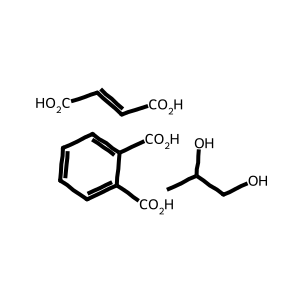 CC(O)CO.O=C(O)C=CC(=O)O.O=C(O)c1ccccc1C(=O)O